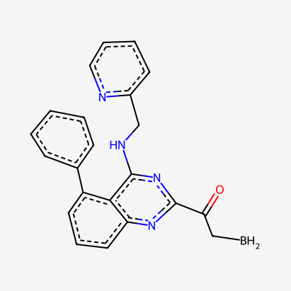 BCC(=O)c1nc(NCc2ccccn2)c2c(-c3ccccc3)cccc2n1